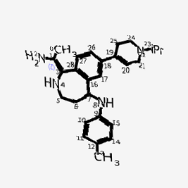 C/C(N)=C1/NCCC(Nc2ccc(C)cc2)c2cc(C3=CCN(C(C)C)CC3)ccc21